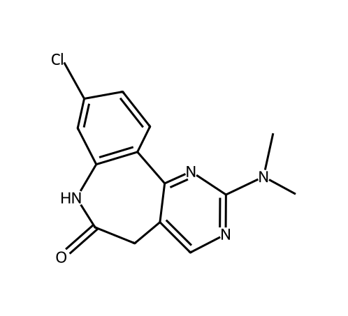 CN(C)c1ncc2c(n1)-c1ccc(Cl)cc1NC(=O)C2